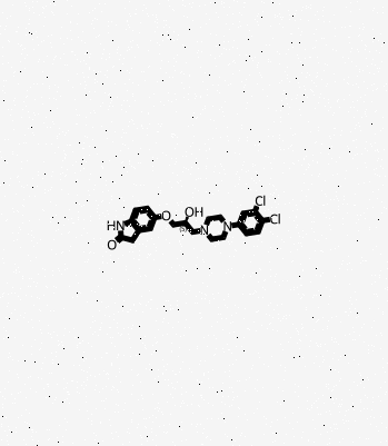 O=C1Cc2cc(OC[C@@H](O)CN3CCN(c4ccc(Cl)c(Cl)c4)CC3)ccc2N1